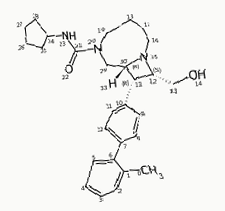 Cc1ccccc1-c1ccc([C@H]2[C@@H](CO)N3CCCCN(C(=O)NC4CCCC4)C[C@@H]23)cc1